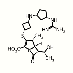 C[C@@H](O)[C@H]1C(=O)N2C(C(=O)O)=C(S[C@H]3C[C@H](N[C@@H]4CC[C@H](NC(=N)N)C4)C3)[C@H](C)[C@H]12